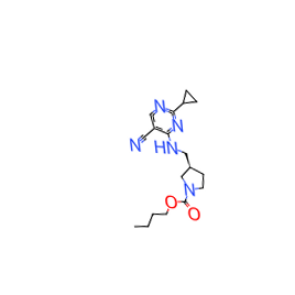 CCCCOC(=O)N1CC[C@H](CNc2nc(C3CC3)ncc2C#N)C1